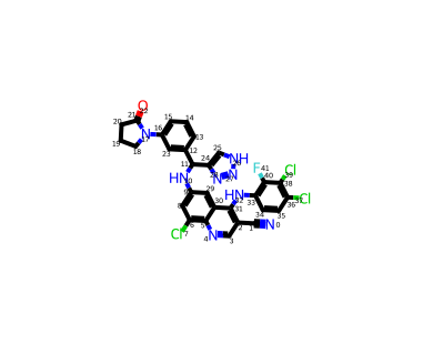 N#Cc1cnc2c(Cl)cc(NC(c3cccc(N4CCCC4=O)c3)c3c[nH]nn3)cc2c1Nc1ccc(Cl)c(Cl)c1F